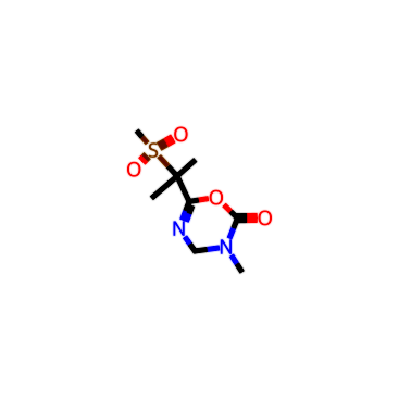 CN1CN=C(C(C)(C)S(C)(=O)=O)OC1=O